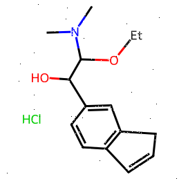 CCOC(C(O)c1ccc2c(c1)CC=C2)N(C)C.Cl